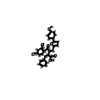 COc1ccc(-c2ccc(CN(C(=O)c3ccc(Cl)cc3Cl)C(Cc3ccccc3)C(=O)O)o2)cc1